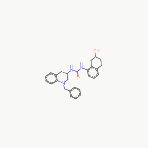 O=C(Nc1cccc2c1CC(O)CC2)NC1Cc2ccccc2N(Cc2ccccc2)C1